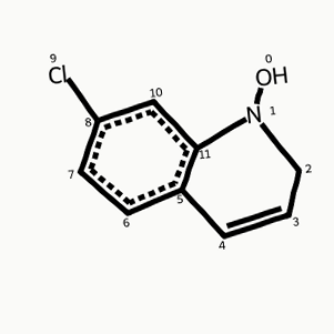 ON1CC=Cc2ccc(Cl)cc21